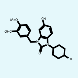 COc1ccc(Cn2c(=O)n(C3CCC(O)CC3)c3ccc(C#N)cc32)cc1C=O